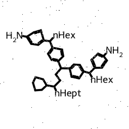 CCCCCCCC(CCC(c1ccc(C(CCCCCC)c2ccc(N)cc2)cc1)c1ccc(C(CCCCCC)c2ccc(N)cc2)cc1)C1CCCCC1